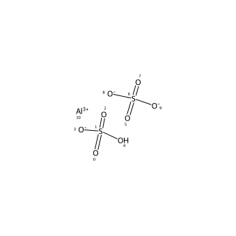 O=S(=O)([O-])O.O=S(=O)([O-])[O-].[Al+3]